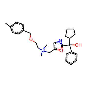 Cc1ccc(COCC[N+](C)(C)Cc2cnc(C(O)(c3ccccc3)C3CCCC3)o2)cc1